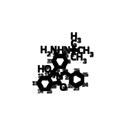 CC(C)(C)Nc1ccc(C2(O)c3ccccc3C(=O)N2Cc2ccccc2)cc1N